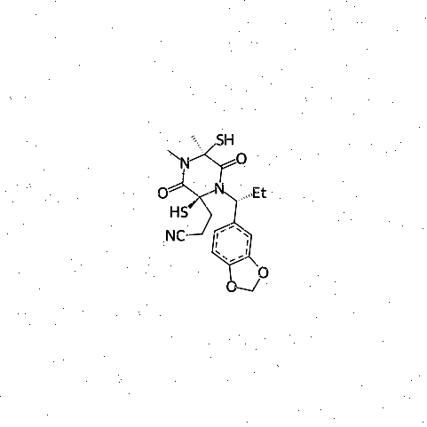 CC[C@H](c1ccc2c(c1)OCO2)N1C(=O)[C@](C)(S)N(C)C(=O)[C@@]1(S)CCC#N